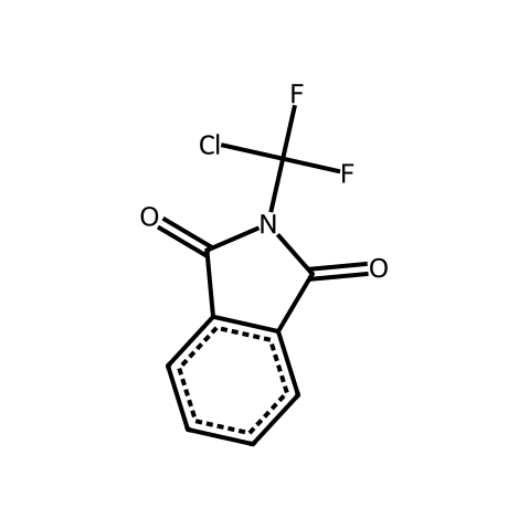 O=C1c2ccccc2C(=O)N1C(F)(F)Cl